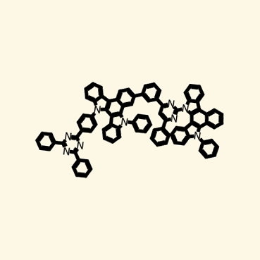 c1ccc(-c2cc(-c3cccc(-c4ccc5c(c4)c4c(c6ccccc6n4-c4ccccc4)c4c5c5ccccc5n4-c4ccc(-c5nc(-c6ccccc6)nc(-c6ccccc6)n5)cc4)c3)nc(-n3c4ccccc4c4c5ccccc5c5c(c6ccccc6n5-c5ccccc5)c43)n2)cc1